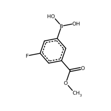 COC(=O)c1cc(F)cc(B(O)O)c1